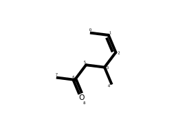 C/C=C\C(C)CC(C)=O